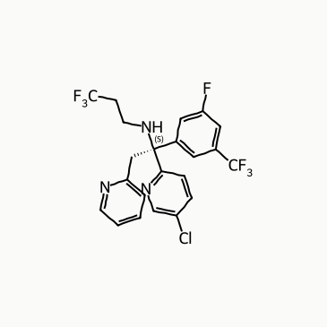 Fc1cc(C(F)(F)F)cc([C@](Cc2ccccn2)(NCCC(F)(F)F)c2ccc(Cl)cn2)c1